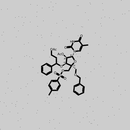 CC(=O)OCCC(O[C@H]1[C@@H](OC(C)=O)[C@H](n2cc(C)c(=O)[nH]c2=O)O[C@@]1(COCc1ccccc1)COS(=O)(=O)c1ccc(C)cc1)c1ccccc1